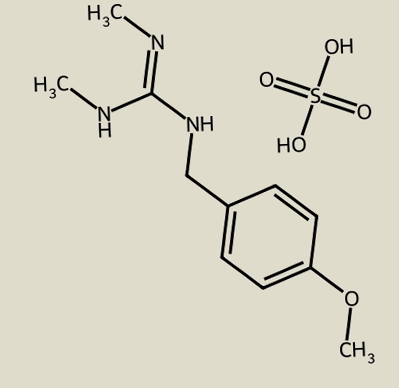 C/N=C(\NC)NCc1ccc(OC)cc1.O=S(=O)(O)O